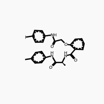 Cc1ccc(NC(=O)[C@H](C)NC(=O)c2ccccc2OCC(=O)Nc2ccc(I)cc2)cc1